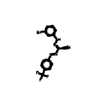 N#CC(N=Nc1ccc(C(F)(F)F)cc1)=NNc1cccc(Br)c1